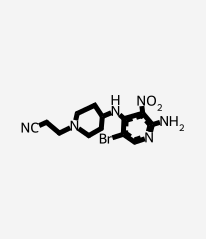 N#CCCN1CCC(Nc2c(Br)cnc(N)c2[N+](=O)[O-])CC1